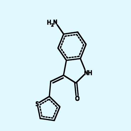 Nc1ccc2c(c1)/C(=C/c1cccs1)C(=O)N2